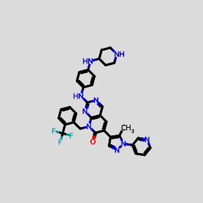 Cc1c(-c2cc3cnc(Nc4ccc(NC5CCNCC5)cc4)nc3n(Cc3ccccc3C(F)(F)F)c2=O)cnn1-c1cccnc1